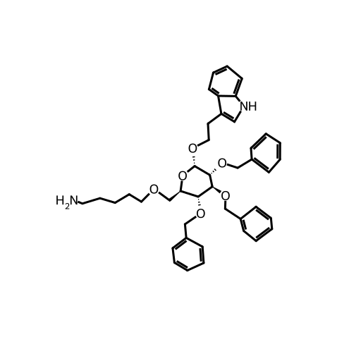 NCCCCCOC[C@H]1O[C@H](OCCc2c[nH]c3ccccc23)[C@H](OCc2ccccc2)[C@@H](OCc2ccccc2)[C@@H]1OCc1ccccc1